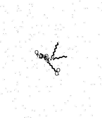 CCCCCCCCCN(CCCCCCCC)CCN(CCCCCCCC(=O)OC)CC(=O)N1CCN(C=O)CC1